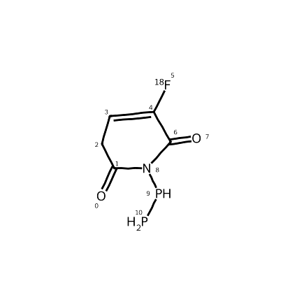 O=C1CC=C([18F])C(=O)N1PP